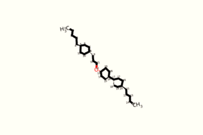 CCCCC[C@H]1CC[C@H](CCCO[C@H]2CC[C@H]([C@H]3CC[C@H](CCCCC)CC3)CC2)CC1